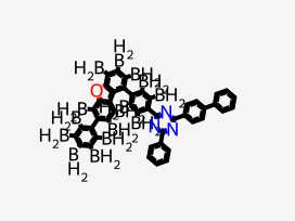 Bc1c(B)c(B)c(-c2c(B)c(B)c3c(oc4c(B)c(B)c(B)c(-c5c(B)c(B)c(-c6nc(-c7ccccc7)nc(-c7ccc(-c8ccccc8)cc7)n6)c(B)c5B)c43)c2B)c(B)c1B